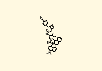 CCC(C)C(CN(Cc1cccc2ccccc12)C(=S)Nc1ccc(N(C)C)c2ccccc12)NC(=O)Cc1cncn1Cc1ccc(C#N)cc1